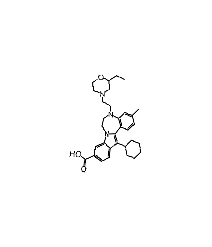 CCC1CN(CCN2CCn3c(c(C4CCCCC4)c4ccc(C(=O)O)cc43)-c3ccc(C)cc32)CCO1